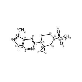 Cc1n[nH]c2cnc(N3CCN(S(C)(=O)=O)CC34CC4)nc12